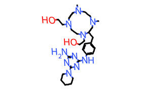 CN1CCN(C)CC(Cc2ccc(Nc3nc(N)nc(N4CCCCC4)n3)cc2)N(CCO)CCN(CCO)CC1